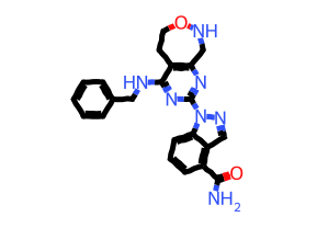 NC(=O)c1cccc2c1cnn2-c1nc2c(c(NCc3ccccc3)n1)CCONC2